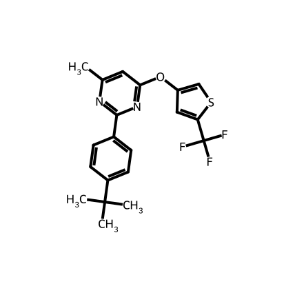 Cc1cc(Oc2csc(C(F)(F)F)c2)nc(-c2ccc(C(C)(C)C)cc2)n1